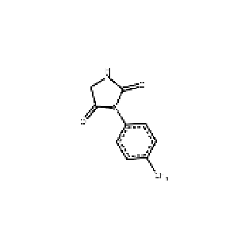 Cc1ccc(N2C(=O)CNC2=O)cc1